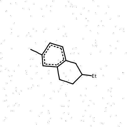 CCC1CCc2cc(C)ccc2C1